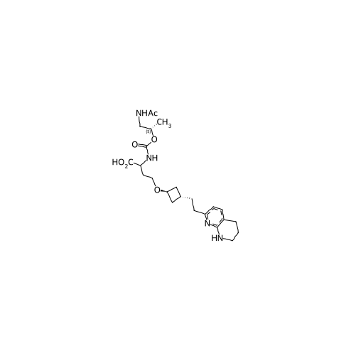 CC(=O)NC[C@H](C)OC(=O)NC(CCO[C@H]1C[C@H](CCc2ccc3c(n2)NCCC3)C1)C(=O)O